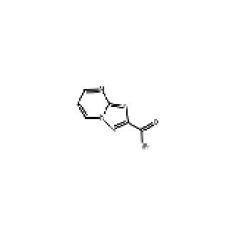 CC(C)C(=O)c1nc2ncccn2n1